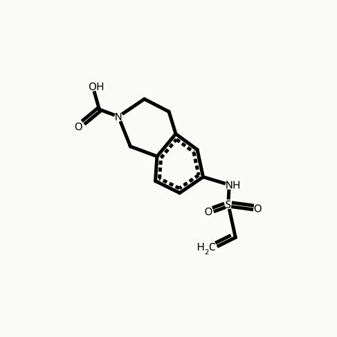 C=CS(=O)(=O)Nc1ccc2c(c1)CCN(C(=O)O)C2